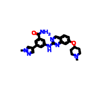 CN1CCC(Oc2ccc3cnc(Nc4cc(C(N)=O)cc(-c5cnn(C)c5)c4)nc3c2)CC1